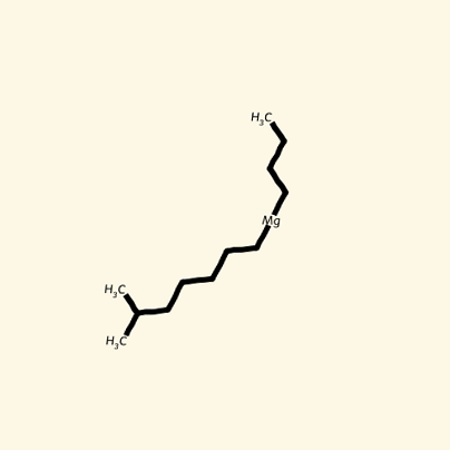 CCC[CH2][Mg][CH2]CCCCC(C)C